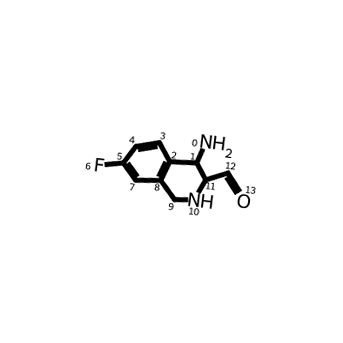 NC1c2ccc(F)cc2CNC1C=O